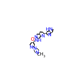 CN1CCN(c2cc(C(=O)Nc3cc4nc(-c5cnc6cc[nH]c6c5)ccc4cn3)ccn2)CC1